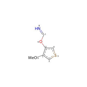 COc1cscc1OC=N